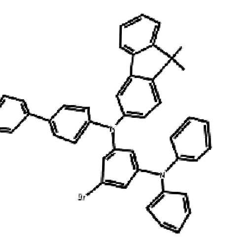 CC1(C)c2ccccc2-c2cc(N(c3ccc(-c4ccccc4)cc3)c3cc(Br)cc(N(c4ccccc4)c4ccccc4)c3)ccc21